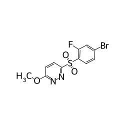 COc1ccc(S(=O)(=O)c2ccc(Br)cc2F)nn1